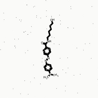 CN(C)c1ccc(N=Nc2ccc(C(=O)NCCCCCCO)cc2)cc1